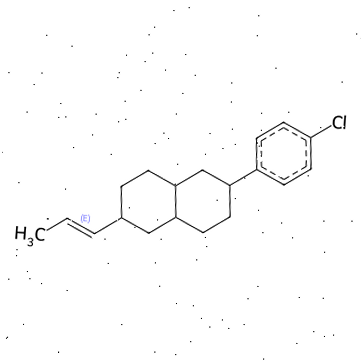 C/C=C/C1CCC2CC(c3ccc(Cl)cc3)CCC2C1